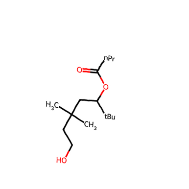 CCCC(=O)OC(CC(C)(C)CCO)C(C)(C)C